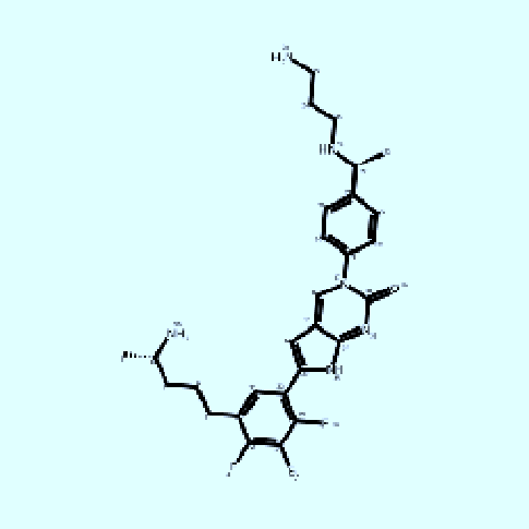 CCc1c(F)c(CCC[C@H](C)N)cc(-c2cc3cn(-c4ccc([C@H](C)NCCCN)cc4)c(=O)nc3[nH]2)c1F